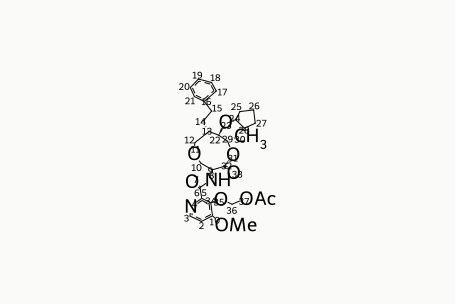 COc1ccnc(C(=O)N[C@H]2COC[C@H](CCc3ccccc3)[C@@H](OC3CCCC3)[C@H](C)OC2=O)c1OCOC(C)=O